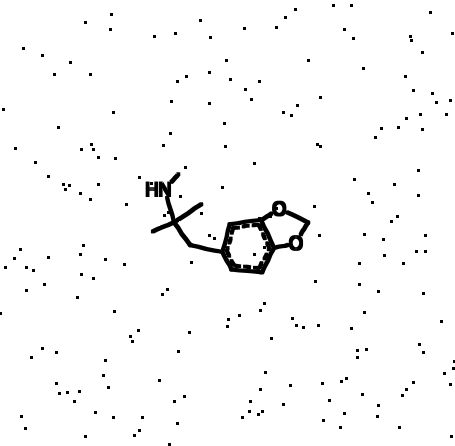 CNC(C)(C)Cc1ccc2c(c1)OCO2